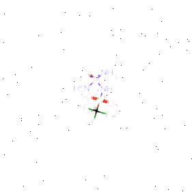 NP(N)(=S)NS(=O)(=O)C(F)(F)F